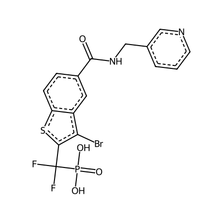 O=C(NCc1cccnc1)c1ccc2sc(C(F)(F)P(=O)(O)O)c(Br)c2c1